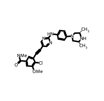 CNC(=O)c1cc(C#Cc2cnc(Nc3ccc(N4C[C@@H](C)N[C@@H](C)C4)cc3)nc2)c(Cl)c(OC)c1